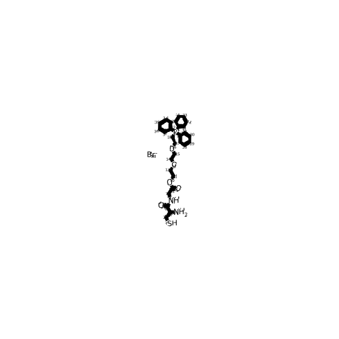 NC(CS)C(=O)NCC(=O)OCCOCCOCC[P+](c1ccccc1)(c1ccccc1)c1ccccc1.[Br-]